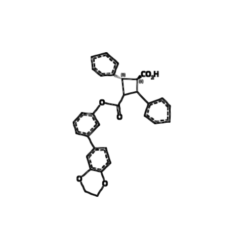 O=C(Oc1cccc(-c2ccc3c(c2)OCCO3)c1)C1C(c2ccccc2)[C@H](C(=O)O)[C@H]1c1ccccc1